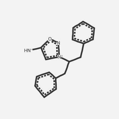 [NH-]c1c[n+](C(Cc2ccccc2)Cc2ccccc2)no1